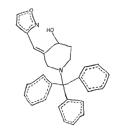 OC1CCN(C(c2ccccc2)(c2ccccc2)c2ccccc2)CC1=Cc1ccon1